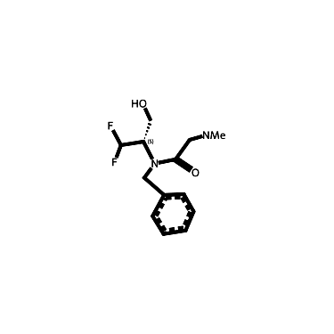 CNCC(=O)N(Cc1ccccc1)[C@@H](CO)C(F)F